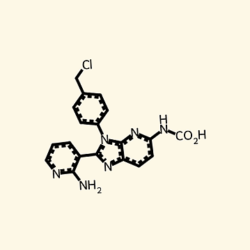 Nc1ncccc1-c1nc2ccc(NC(=O)O)nc2n1-c1ccc(CCl)cc1